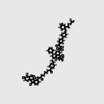 C=C(CCC(F)F)C1=C(CN2CCN(c3ccc(C(=O)NS(=O)(=O)c4ccc(N[C@H](CCN5CCN(C(=O)CCCCCC(=O)Nc6cccc7c6C(=O)N(C6CCC(=O)NC6=O)C7=O)CC5)CSc5ccccc5)c(S(=O)(=O)C(F)(F)F)c4)cc3)CC2)CCC(C)(C)C1